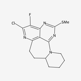 CSc1nc2c3c(nc(Cl)c(F)c3n1)CCC1CCCCN21